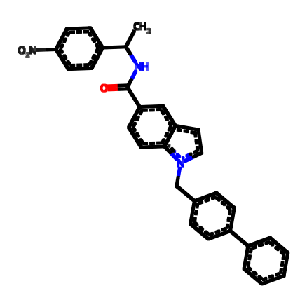 CC(NC(=O)c1ccc2c(ccn2Cc2ccc(-c3ccccc3)cc2)c1)c1ccc([N+](=O)[O-])cc1